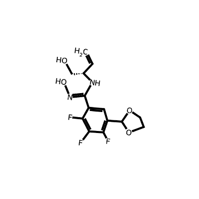 C=C[C@@H](CO)N/C(=N\O)c1cc(C2OCCO2)c(F)c(F)c1F